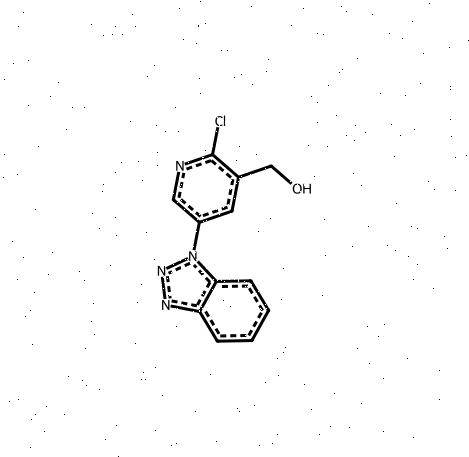 OCc1cc(-n2nnc3ccccc32)cnc1Cl